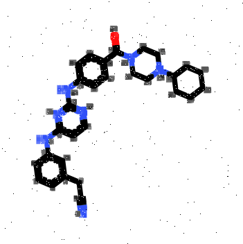 N#CCc1cccc(Nc2ccnc(Nc3ccc(C(=O)N4CCN(C5CCCCC5)CC4)cc3)n2)c1